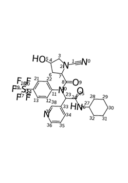 N#CN1CC(O)CC1C(=O)N(c1ccc(S(F)(F)(F)(F)F)cc1)C(C(=O)NC1CCCCC1)c1cccnc1